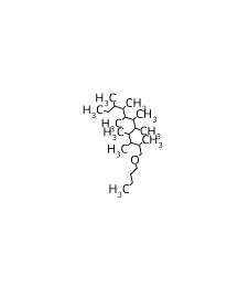 CCCCOCC(C)C(C)C(C)C(C)C(C)C(C)C(C)C(C)CC